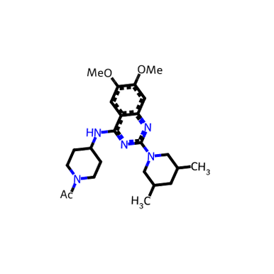 COc1cc2nc(N3CC(C)CC(C)C3)nc(NC3CCN(C(C)=O)CC3)c2cc1OC